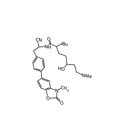 CCC(C)C(CCC(O)CCNC)C(=O)NC(C#N)Cc1ccc(-c2ccc3oc(=O)n(C)c3c2)cc1